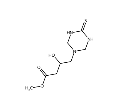 COC(=O)CC(O)CN1CNC(=S)NC1